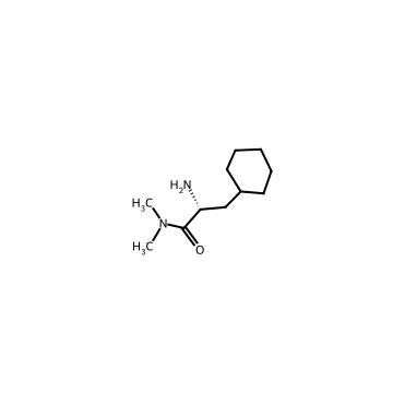 CN(C)C(=O)[C@H](N)CC1CCCCC1